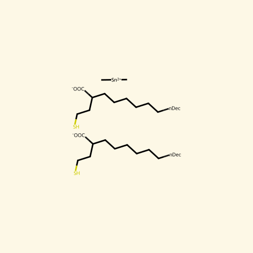 CCCCCCCCCCCCCCCCC(CCS)C(=O)[O-].CCCCCCCCCCCCCCCCC(CCS)C(=O)[O-].[CH3][Sn+2][CH3]